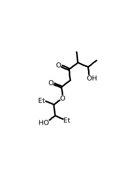 CCC(O)C(CC)OC(=O)CC(=O)C(C)C(C)O